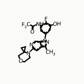 Cc1nn(-c2cc(O)c(F)c(NC(=O)C(F)(F)F)c2)c2cnc(N3CCOCC34CC4)cc12